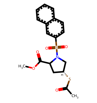 COC(=O)C1C[C@@H](SC(C)=O)CN1S(=O)(=O)c1ccc2ccccc2c1